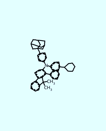 CC1(C)c2ccccc2-c2ccc(N(c3ccc(C4CCCCC4)cc3)c3ccc(C45CC6CC(CC(C6)C4)C5)cc3)c(-c3ccccc3)c21